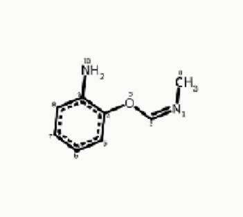 C/N=C\Oc1ccccc1N